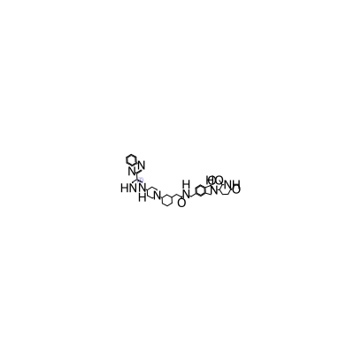 N=C/C(=C\NC1CCN(C2CCCC(CC(=O)NCc3ccc4c(c3)CN(C3CCC(=O)NC3O)C4=O)C2)CC1)c1cnc2ccccc2n1